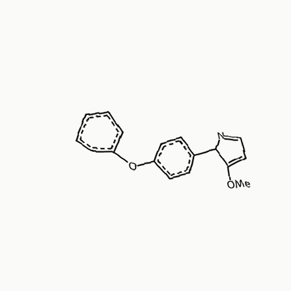 COC1=CC=NC1c1ccc(Oc2ccccc2)cc1